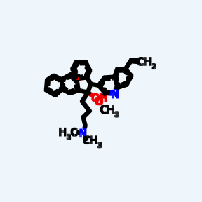 C=Cc1ccc2nc(OC)c(C(c3ccccc3)C(O)(CCCCN(C)C)c3ccc4ccccc4c3)cc2c1